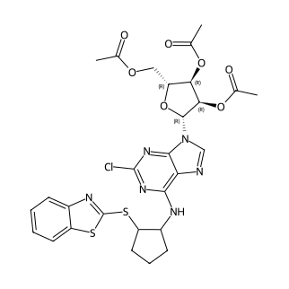 CC(=O)OC[C@H]1O[C@@H](n2cnc3c(NC4CCCC4Sc4nc5ccccc5s4)nc(Cl)nc32)[C@H](OC(C)=O)[C@@H]1OC(C)=O